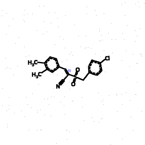 Cc1ccc(/C=C(\C#N)S(=O)(=O)Cc2ccc(Cl)cc2)cc1C